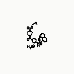 COc1cc(C(=O)N2CCN(C(=O)OCC3CC3)CC2)ccc1NS(=O)(=O)c1cccc2cccnc12